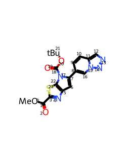 COC(=O)c1nc2cc(-c3ccc4cnnn4c3)n(C(=O)OC(C)(C)C)c2s1